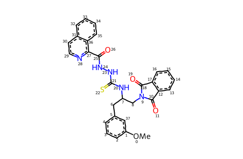 COc1cccc(CC(CN2C(=O)c3ccccc3C2=O)NC(=S)NNC(=O)c2nccc3c[c]ccc23)c1